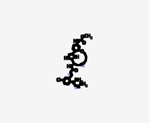 COC(=O)Nc1ccc2c(c1)OCCC/C=C\C[C@H](NC(=O)/C=C/c1cc(Cl)ccc1N(N)/C=N\N)C1NC=C2N1